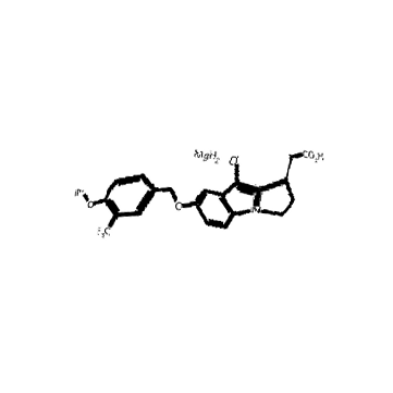 CC(C)Oc1ccc(COc2ccc3c(c2)c(Cl)c2n3CC[C@@H]2CC(=O)O)cc1C(F)(F)F.[MgH2]